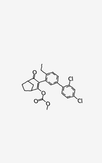 CCc1ccc(-c2ccc(Cl)cc2Cl)cc1C1=C(OC(=O)OC)C2CCC(C2)C1=O